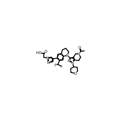 CC(=O)N1CCc2c(c(N3CCCc4cc(-c5cnn(CC(=O)O)c5)c(C(F)F)cc43)nn2C2CCOCC2)C1